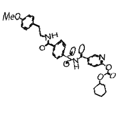 COc1ccc(CCNC(=O)c2ccc(S(=O)(=O)NC(=O)c3ccc(OC(=O)OC4CCCCC4)nc3)cc2)cc1